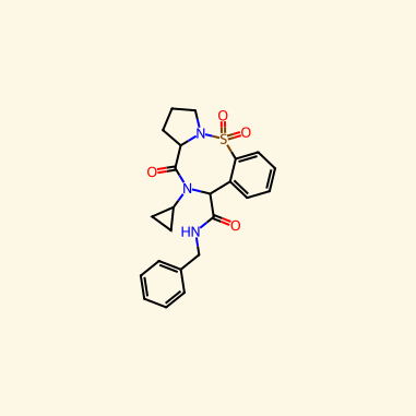 O=C(NCc1ccccc1)C1c2ccccc2S(=O)(=O)N2CCCC2C(=O)N1C1CC1